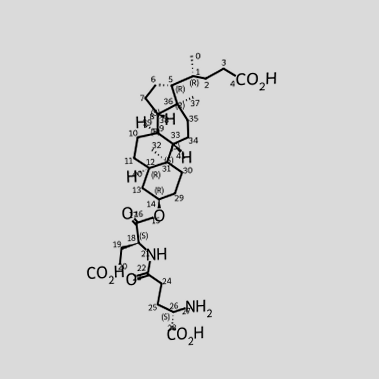 C[C@H](CCC(=O)O)[C@H]1CC[C@H]2[C@@H]3CC[C@@H]4C[C@H](OC(=O)[C@H](CC(=O)O)NC(=O)CC[C@H](N)C(=O)O)CC[C@]4(C)[C@H]3CC[C@]12C